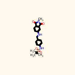 CN1C(=O)c2ccc(NCc3ccc(NS(=O)(=O)C(C)(C)C)cc3)cc2C1=O